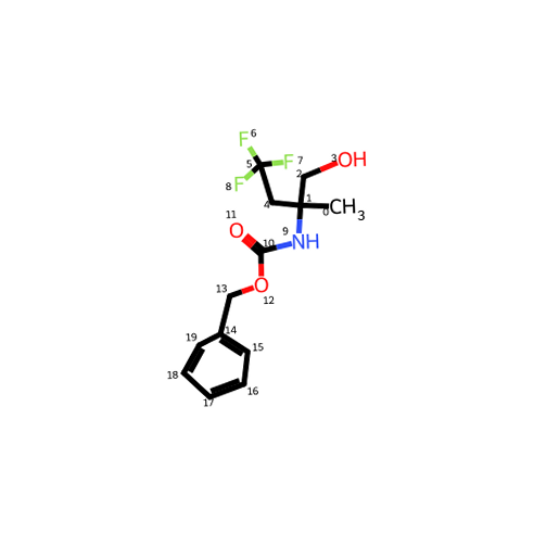 CC(CO)(CC(F)(F)F)NC(=O)OCc1ccccc1